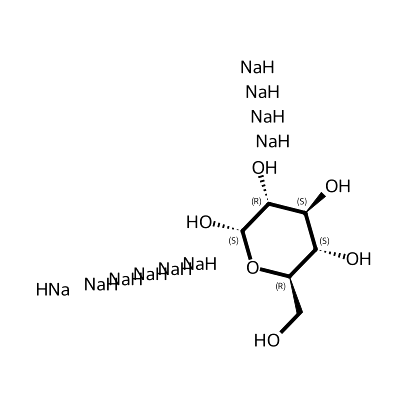 OC[C@H]1O[C@H](O)[C@H](O)[C@@H](O)[C@@H]1O.[NaH].[NaH].[NaH].[NaH].[NaH].[NaH].[NaH].[NaH].[NaH].[NaH]